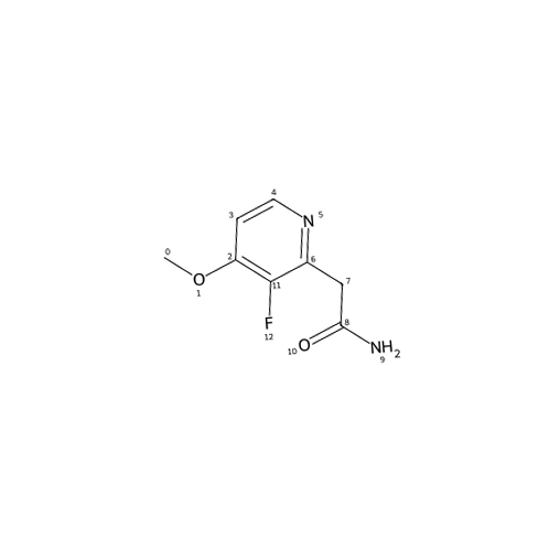 COc1ccnc(CC(N)=O)c1F